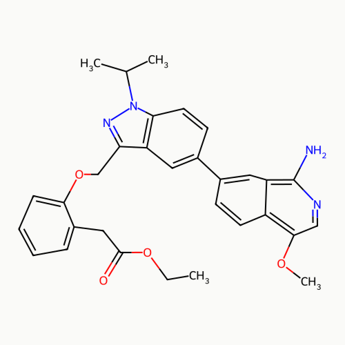 CCOC(=O)Cc1ccccc1OCc1nn(C(C)C)c2ccc(-c3ccc4c(OC)cnc(N)c4c3)cc12